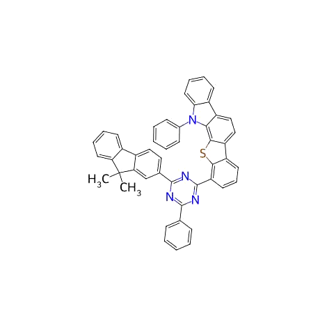 CC1(C)c2ccccc2-c2ccc(-c3nc(-c4ccccc4)nc(-c4cccc5c4sc4c5ccc5c6ccccc6n(-c6ccccc6)c54)n3)cc21